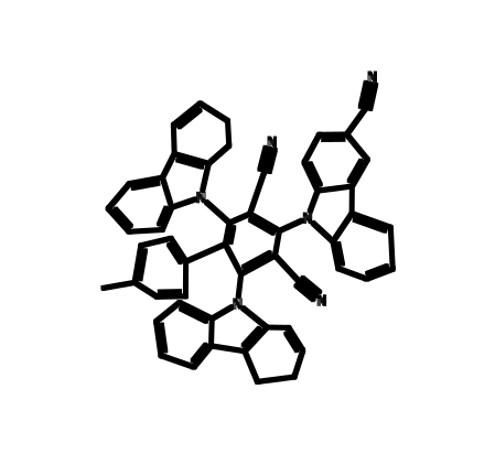 Cc1ccc(-c2c(-n3c4c(c5ccccc53)CCC=C4)c(C#N)c(-n3c4ccccc4c4cc(C#N)ccc43)c(C#N)c2-n2c3c(c4ccccc42)C=CCC3)cc1